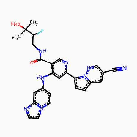 CC(C)(O)C(F)CNC(=O)c1cnc(-c2ccc3cc(C#N)cnn23)cc1Nc1ccn2ccnc2c1